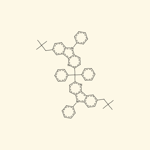 CC(C)(C)Cc1ccc2c(c1)c1nc(C(c3ccccc3)(c3ccccc3)c3ccc4c(n3)c3cc(CC(C)(C)C)ccc3n4-c3ccccc3)ccc1n2-c1ccccc1